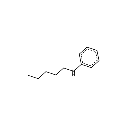 [CH2]CCCCNc1ccccc1